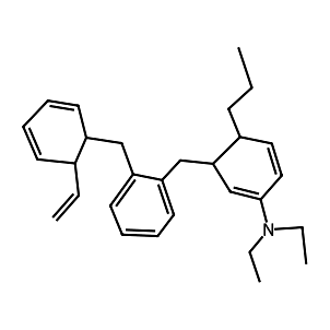 C=CC1C=CC=CC1Cc1ccccc1CC1C=C(N(CC)CC)C=CC1CCC